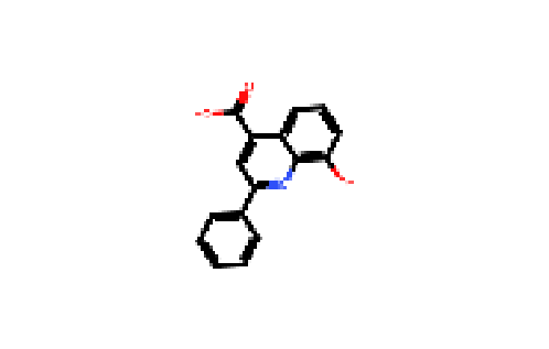 O=C(O)c1cc(-c2ccccc2)nc2c(O)cccc12